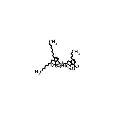 CCCCCCCCc1ccc(C(=O)O)c(C(=O)O)c1CCCCCCCC.CCCCc1ccc(C(=O)O)c(C(=O)O)c1CCCC